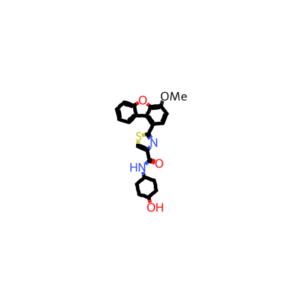 COc1ccc(-c2nc(C(=O)NC3CCC(O)CC3)cs2)c2c1oc1ccccc12